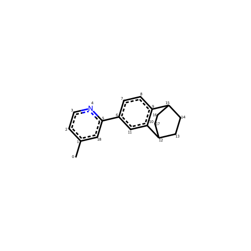 Cc1ccnc(-c2ccc3c(c2)C2CCC3CC2)c1